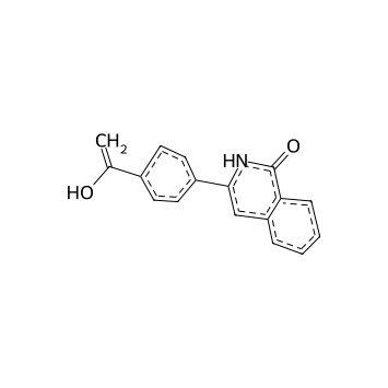 C=C(O)c1ccc(-c2cc3ccccc3c(=O)[nH]2)cc1